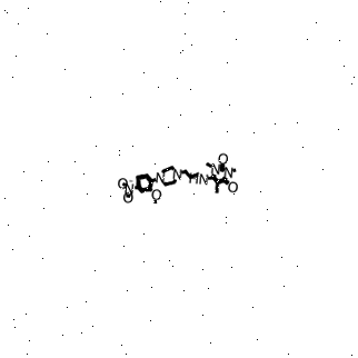 COc1cc([N+](=O)[O-])ccc1N1CCN(CCCNc2c(C)c(=O)n(C)c(=O)n2C)CC1